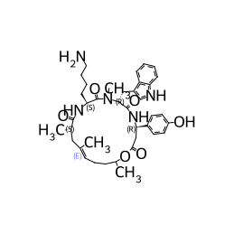 C/C1=C\CCC(C)OC(=O)C[C@H](c2ccc(O)cc2)NC(=O)[C@@H](Cc2c[nH]c3ccccc23)N(C)C(=O)[C@H](CCCCN)NC(=O)[C@@H](C)C1